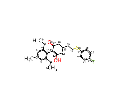 CCc1cc(C)cc(CC)c1C1=C(O)CC(CCSc2ccc(F)cc2)CC1=O